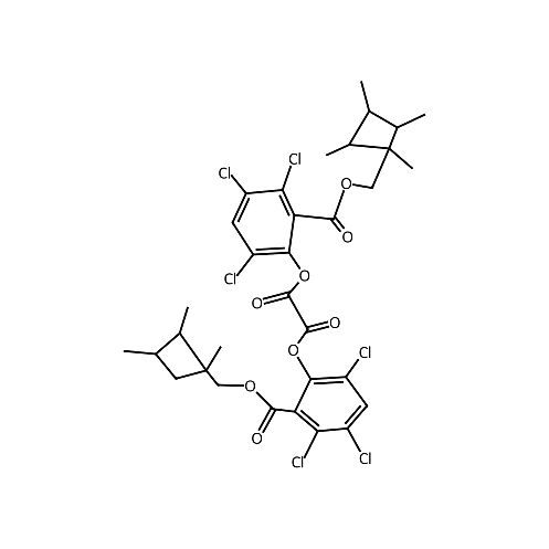 CC1CC(C)(COC(=O)c2c(Cl)c(Cl)cc(Cl)c2OC(=O)C(=O)Oc2c(Cl)cc(Cl)c(Cl)c2C(=O)OCC2(C)C(C)C(C)C2C)C1C